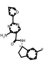 Nc1nc(-c2ccco2)ncc1C(=O)N[C@H]1CCc2ccc(F)cc21